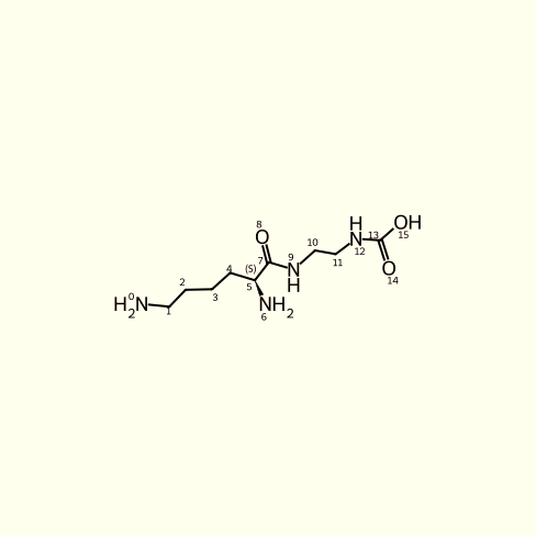 NCCCC[C@H](N)C(=O)NCCNC(=O)O